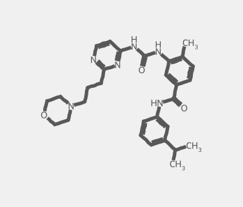 Cc1ccc(C(=O)Nc2cccc(C(C)C)c2)cc1NC(=O)Nc1ccnc(CCCN2CCOCC2)n1